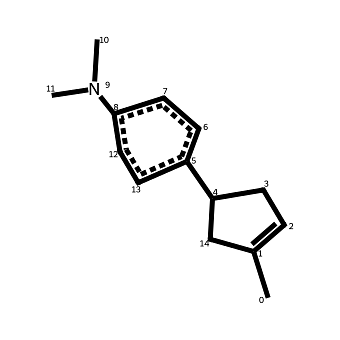 CC1=CCC(c2ccc(N(C)C)cc2)C1